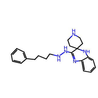 c1ccc(CCCCNNC2=Nc3ccccc3NC23CCNCC3)cc1